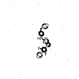 Fc1cc(-n2ccc3cnc(Nc4ccc(CN5CCOCC5)cc4)nc32)cc(F)c1N1CCOCC1